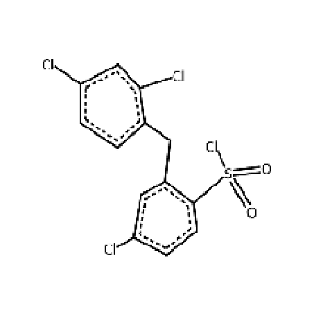 O=S(=O)(Cl)c1ccc(Cl)cc1Cc1ccc(Cl)cc1Cl